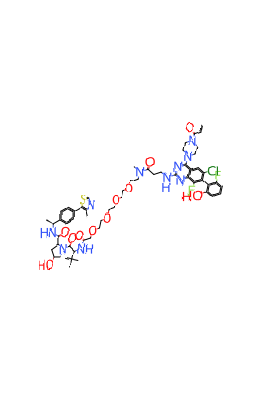 C=CC(=O)N1CCN(c2nc(NCCC(=O)N(C)CCOCCOCCOCCOCC(=O)N[C@H](C(=O)N3CC(O)CC3C(=O)N[C@@H](C)c3ccc(-c4scnc4C)cc3)C(C)(C)C)nc3c(F)c(-c4c(O)cccc4F)c(Cl)cc23)CC1